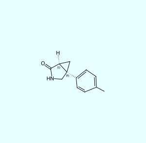 Cc1ccc([C@]23CNC(=O)[C@H]2C3)cc1